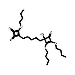 CCCCOC1=C(OCCCC)C(O)(CCCCCc2c(OCCCC)c(=O)c2=O)C1=O